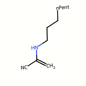 C=C(C#N)NCCCCCCCC